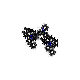 [2H]c1c([2H])c([2H])c2c(c1[2H])c1c([2H])c(-c3ccc4c(c3)c3cc(-c5c([2H])c([2H])c6c(c5[2H])c5c([2H])c([2H])c([2H])c([2H])c5n6-c5cccc(-c6ccccc6)c5)ccc3n4-c3ccccc3)c([2H])c([2H])c1n2-c1cccc(-c2ccccc2)c1